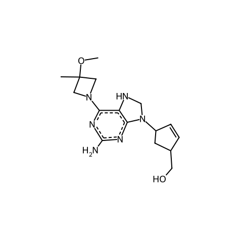 COC1(C)CN(c2nc(N)nc3c2NCN3C2C=CC(CO)C2)C1